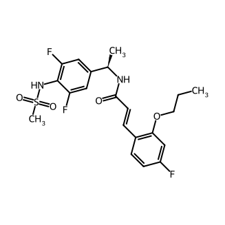 CCCOc1cc(F)ccc1C=CC(=O)N[C@H](C)c1cc(F)c(NS(C)(=O)=O)c(F)c1